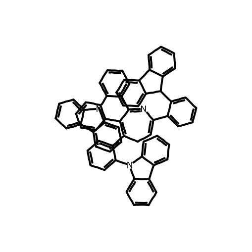 C1=C(c2ccccc2C2c3ccccc3-c3ccccc32)N=C(c2ccccc2-n2c3ccccc3c3ccccc32)C(c2ccccc2)=C(c2ccccc2-n2c3ccccc3c3ccccc32)C1